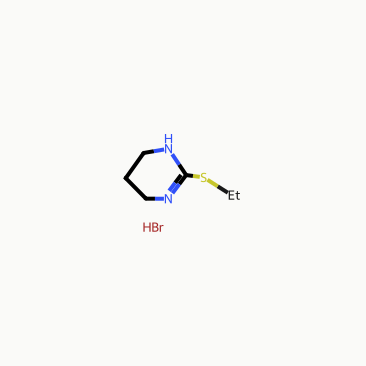 Br.CCSC1=NCCCN1